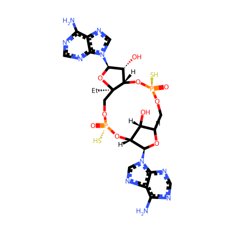 CC[C@@]12CO[P@@](=O)(S)O[C@@H]3[C@H](O)[C@@H](CO[P@](=O)(S)O[C@H]1[C@@H](O)[C@H](n1cnc4c(N)ncnc41)O2)O[C@H]3n1cnc2c(N)ncnc21